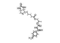 CC(COC(=O)CCCC[C@H]1SCC2NC(=O)NC21)OC(=O)NC(=N)c1ccc(N)cc1